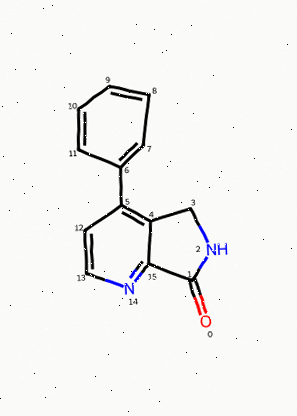 O=C1NCc2c(-c3ccccc3)ccnc21